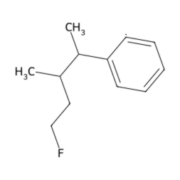 CC(CCF)C(C)c1[c]cccc1